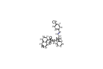 O=S(=O)(NCc1ccccc1NC/C=C/c1ccc(Cl)cc1)c1cccc2cnccc12